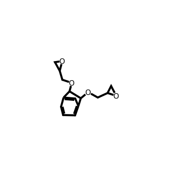 c1cc2cc(c1)C(OCC1CO1)C2OCC1CO1